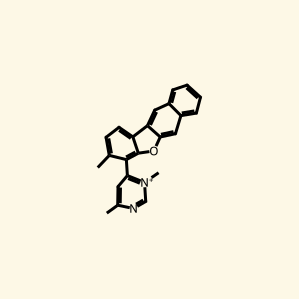 Cc1cc(-c2c(C)ccc3c2oc2cc4ccccc4cc23)[n+](C)cn1